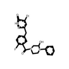 CCc1cc(Cc2ccc(F)c(C(=O)N3CCN(c4ccccc4)C(O)C3)c2)n[nH]c1=O